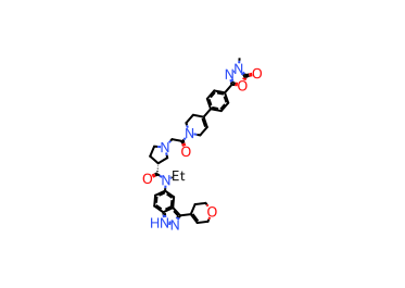 CCN(C(=O)[C@@H]1CCN(CC(=O)N2CC=C(c3ccc(-c4nn(C)c(=O)o4)cc3)CC2)C1)c1ccc2[nH]nc(C3=CCOCC3)c2c1